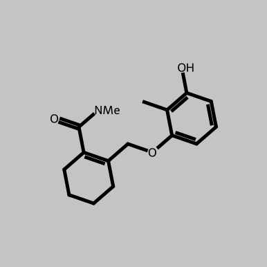 CNC(=O)C1=C(COc2cccc(O)c2C)CCCC1